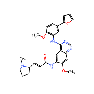 COc1cc2ncnc(Nc3cc(-c4ccco4)ccc3OC)c2cc1NC(=O)/C=C/C1CCCN1C